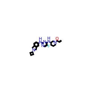 C=CC(=O)N1CCC[C@@H](Nc2nc(Nc3ccc4c(c3)CN(C3CCC3)C4)ncc2F)C1